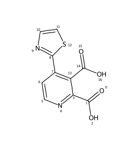 O=C(O)c1nccc(-c2nccs2)c1C(=O)O